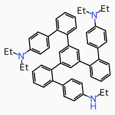 CCNc1ccc(-c2ccccc2-c2cc(-c3ccccc3-c3ccc(N(CC)CC)cc3)cc(-c3ccccc3-c3ccc(N(CC)CC)cc3)c2)cc1